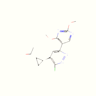 COc1ncc(-c2cc([C@H]3C[C@@H]3C(C)O)c(Cl)nn2)c(OC)n1